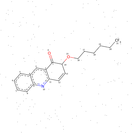 O=C1c2cc3ccccc3nc2C=CC1OCCCCCC(F)(F)F